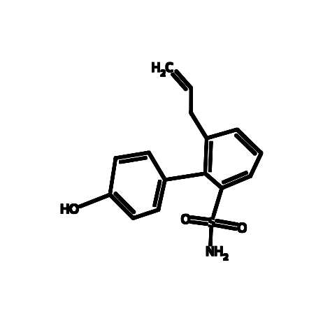 C=CCc1cccc(S(N)(=O)=O)c1-c1ccc(O)cc1